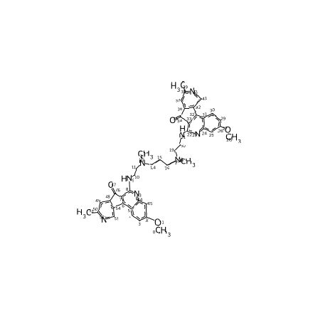 COc1ccc2c3c(c(NCCN(C)CCCN(C)CCNc4nc5cc(OC)ccc5c5c4C(=O)c4cc(C)ncc4-5)nc2c1)C(=O)c1cc(C)ncc1-3